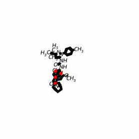 COc1cc(C(=O)N2C3CCC2CC(Cc2ccc(NC(=O)Nc4cc(C(C)(C)C)nn4-c4ccc(C)cc4)cc2)C3)cc(Cl)n1